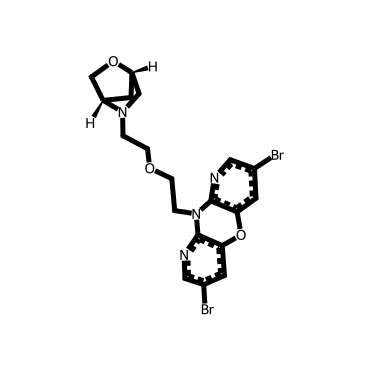 Brc1cnc2c(c1)Oc1cc(Br)cnc1N2CCOCCN1C[C@@H]2C[C@H]1CO2